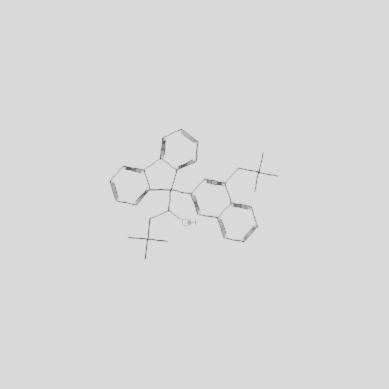 CC(C)(C)Cc1cc(C2(C(O)CC(C)(C)C)c3ccccc3-c3ccccc32)cc2ccccc12